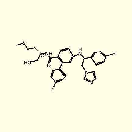 CSCC[C@@H](CO)NC(=O)c1ccc(NC(Cn2ccnc2)c2ccc(F)cc2)cc1-c1ccc(F)cc1